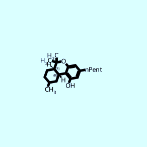 CCCCCc1cc(O)c2c(c1)OC(C)(C)[C@@H]1CCC(C)C[C@@H]21